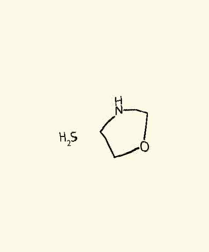 C1COCN1.S